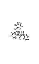 O=C(Nc1cccnc1)c1nc(Cc2cccnc2)n2ccccc12